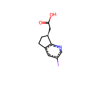 O=C(O)C[C@@H]1CCc2cc(I)cnc21